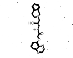 O=C(COc1cccc2nccnc12)NCC(O)CN1CCc2ccccc2C1